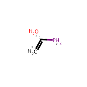 C=CP.O